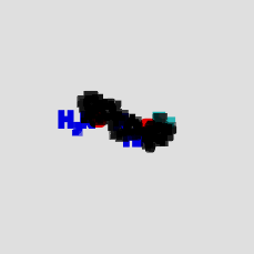 C[C@H](NC(=O)c1ccc2c(c1)CCCN2Cc1ccc(-c2ccccc2C(N)=O)cc1)c1ccc(F)c(F)c1